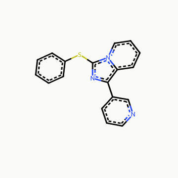 c1ccc(Sc2nc(-c3cccnc3)c3ccccn23)cc1